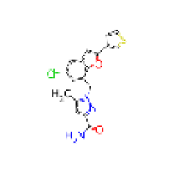 Cc1cc(C(N)=O)nn1Cc1cc(Cl)cc2cc(-c3ccsc3)oc12